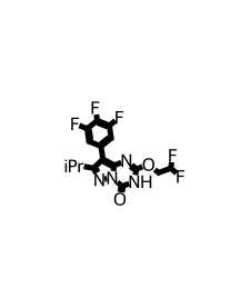 CC(C)c1nn2c(=O)[nH]c(OCC(F)F)nc2c1-c1cc(F)c(F)c(F)c1